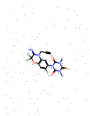 C#CCN1C(=N)C(F)(F)Oc2cc(F)c(-n3c(=O)n(C)c(=S)n(C)c3=O)cc21